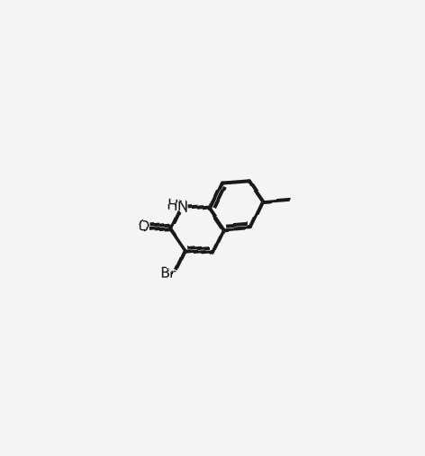 CC1C=c2cc(Br)c(=O)[nH]c2=CC1